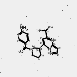 Nc1ccc(C(=O)N2CCC[C@H](c3cc(C(F)F)nc4ccnn34)C2)cn1